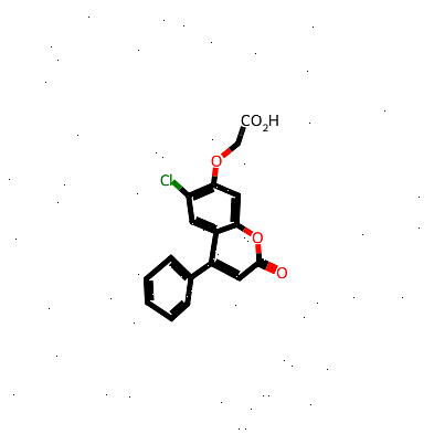 O=C(O)COc1cc2oc(=O)cc(-c3ccccc3)c2cc1Cl